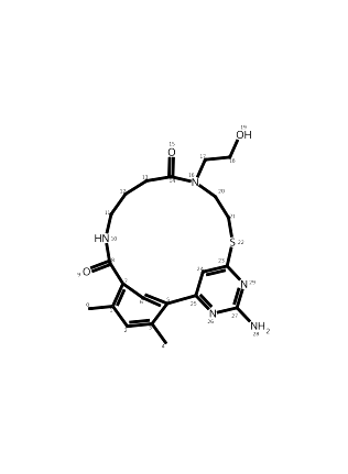 Cc1cc(C)c2cc1C(=O)NCCCC(=O)N(CCO)CCSc1cc-2nc(N)n1